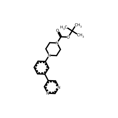 CC(C)(C)OC(=O)N1CCN(c2cccc(-c3cncnc3)c2)CC1